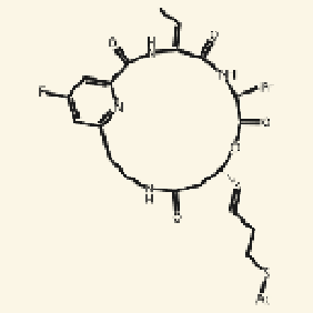 C/C=C1\NC(=O)c2cc(F)cc(n2)CCNC(=O)C[C@@H](/C=C/CCSC(C)=O)OC(=O)[C@H](C(C)C)NC1=O